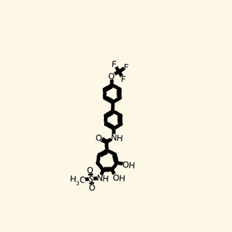 CS(=O)(=O)NC1=C(O)C(O)=CC(C(=O)Nc2ccc(-c3ccc(OC(F)(F)F)cc3)cc2)=CC1